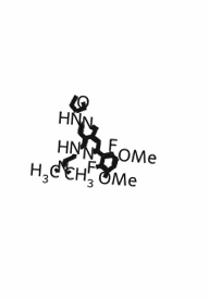 COc1cc(OC)c(F)c(-c2cc3cnc(NC4CCOC4)cc3c(NCCN(C)C)n2)c1F